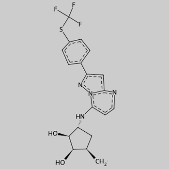 [CH2][C@@H]1C[C@@H](Nc2ccnc3cc(-c4ccc(SC(F)(F)F)cc4)nn23)[C@H](O)[C@@H]1O